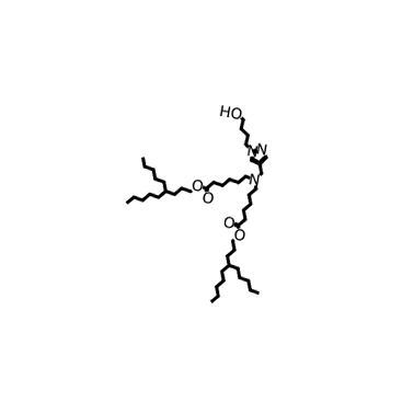 CCCCCC(CCCCC)CCCOC(=O)CCCCCN(CCCCCC(=O)OCCCC(CCCCC)CCCCC)Cc1cnn(CCCCO)c1